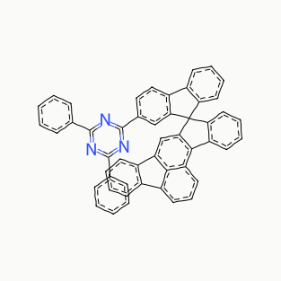 c1ccc(-c2nc(-c3ccccc3)nc(-c3ccc4c(c3)C3(c5ccccc5-4)c4ccccc4-c4c3cc3c5c(cccc45)-c4ccccc4-3)n2)cc1